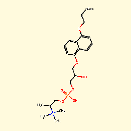 CCCCCCCCCCCCOc1cccc2c(OCC(O)COP(=O)(O)OCC(C)[N+](C)(C)C)cccc12